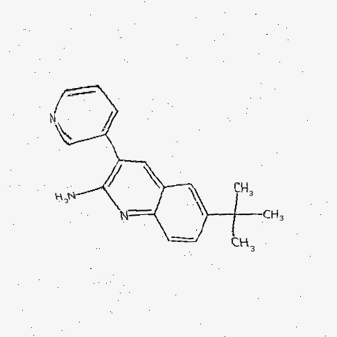 CC(C)(C)c1ccc2nc(N)c(-c3cccnc3)cc2c1